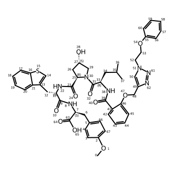 COc1ccc(C[C@H](NC(=O)[C@H](Cc2csc3ccccc23)NC(=O)[C@H]2C[C@H](O)CN2C(=O)[C@@H](CC(C)C)NC(=O)c2ccccc2OCc2cn(CCOc3ccccc3)nn2)C(=O)O)cc1